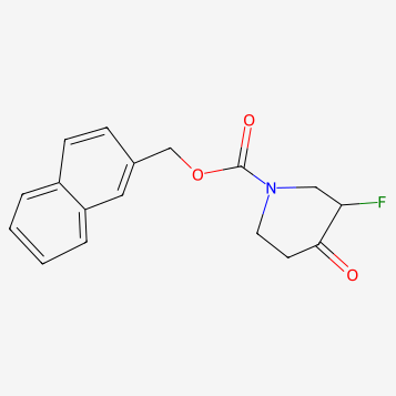 O=C1CCN(C(=O)OCc2ccc3ccccc3c2)CC1F